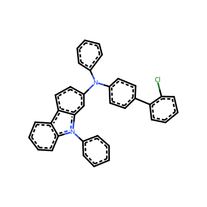 Clc1ccccc1-c1ccc(N(c2ccccc2)c2ccc3c4ccccc4n(-c4ccccc4)c3c2)cc1